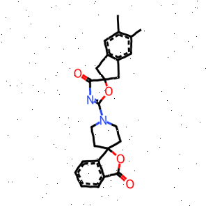 Cc1cc2c(cc1C)CC1(C2)OC(N2CCC3(CC2)OC(=O)c2ccccc23)=NC1=O